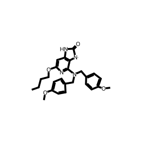 CCCCOc1cc2c(c(N(Cc3ccc(OC)cc3)Cc3ccc(OC)cc3)n1)[N]C(=O)N2